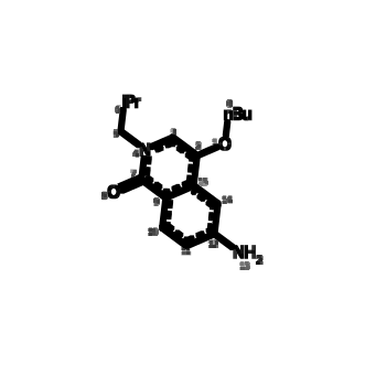 CCCCOc1[c]n(CC(C)C)c(=O)c2ccc(N)cc12